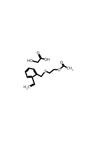 C=Cc1ccccc1CSCCOC(C)=O.O=C(O)CO